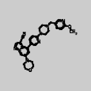 COc1ccc(CN2CCN(c3ccc(-c4cc(N5CCOCC5)cn5ncc(C#N)c45)cn3)CC2)cn1